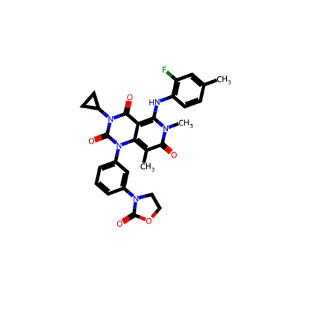 Cc1ccc(Nc2c3c(=O)n(C4CC4)c(=O)n(-c4cccc(N5CCOC5=O)c4)c3c(C)c(=O)n2C)c(F)c1